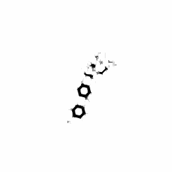 C#CCN(C(=O)C(C)Oc1ccc(Oc2ccc(C(F)(F)F)cc2)cc1)C(=S)N(C)C